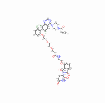 C=CC(=O)N1CCN(c2ncnc3c(F)c(-c4c(F)cccc4OCCOCCOCCC(=O)NCCOc4cccc5c4C(=O)N(C4CCC(=O)NC4=O)C5=O)c(Cl)cc23)CC1